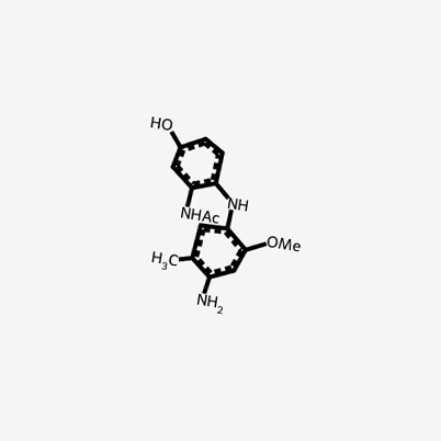 COc1cc(N)c(C)cc1Nc1ccc(O)cc1NC(C)=O